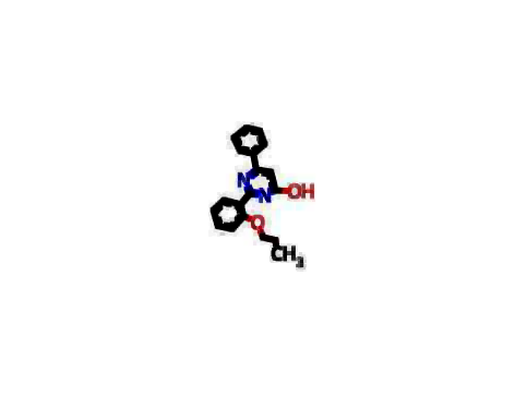 CCCOc1ccccc1-c1nc(O)cc(-c2ccccc2)n1